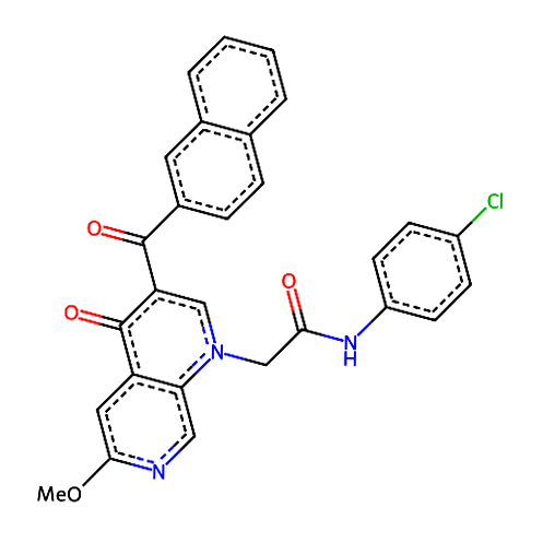 COc1cc2c(=O)c(C(=O)c3ccc4ccccc4c3)cn(CC(=O)Nc3ccc(Cl)cc3)c2cn1